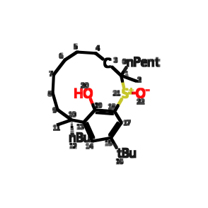 CCCCCC1(C)CCCCCCC[C@@](C)(CCCC)c2cc(C(C)(C)C)cc(c2O)[S+]1[O-]